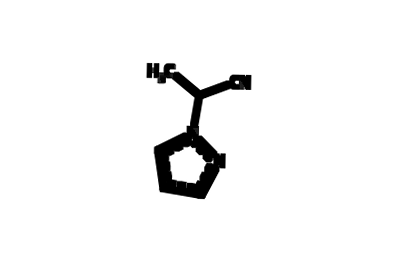 CC(C#N)n1cccn1